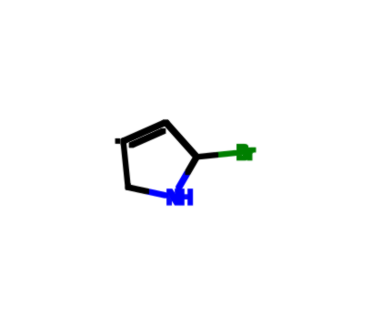 BrC1C=[C]CN1